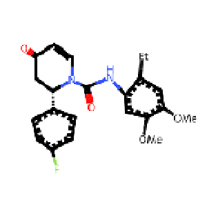 CCc1cc(OC)c(OC)cc1NC(=O)N1C=CC(=O)C[C@H]1c1ccc(F)cc1